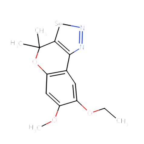 CCOc1cc2c(cc1OC)OC(C)(C)c1[se]nnc1-2